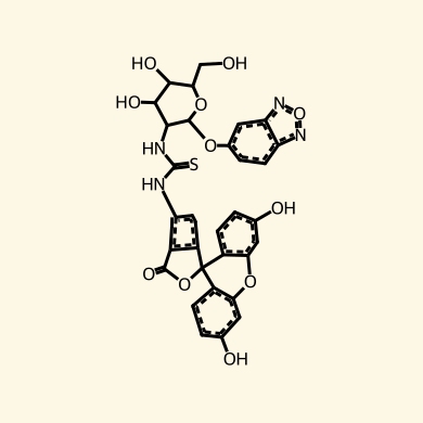 O=C1OC2(c3ccc(O)cc3Oc3cc(O)ccc32)c2ccc(NC(=S)NC3C(Oc4ccc5nonc5c4)OC(CO)C(O)C3O)cc21